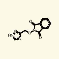 O=C1c2ccccc2C(=O)N1OCc1nc[nH]n1